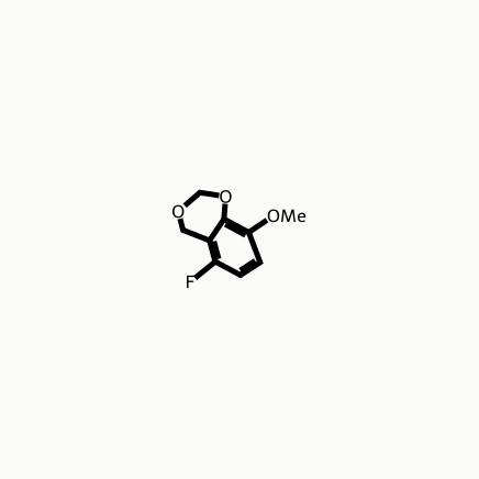 COc1ccc(F)c2c1OCOC2